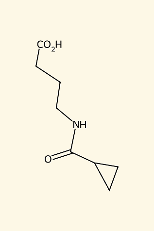 O=C(O)CCCNC(=O)C1CC1